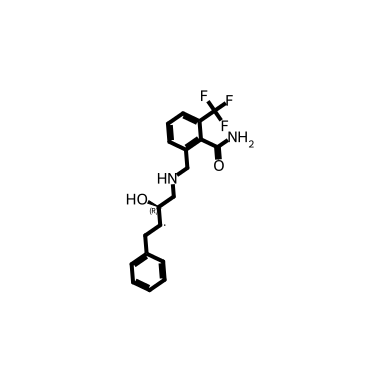 NC(=O)c1c(CNC[C@H](O)[CH]Cc2ccccc2)cccc1C(F)(F)F